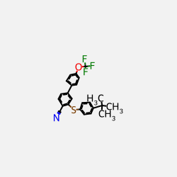 CC(C)(C)c1ccc(Sc2cc(-c3ccc(OC(F)(F)F)cc3)ccc2C#N)cc1